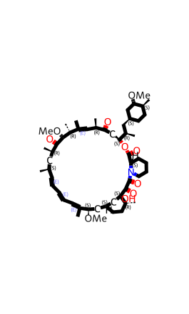 COC1C(=O)[C@H](C)C[C@H](C)/C=C/C=C/C=C(\C)[C@@H](OC)C[C@@H]2CC[C@@H](C)[C@@](O)(C2)C(=O)C(=O)N2CCCC[C@H]2C(=O)O[C@H]([C@H](C)C[C@@H]2CC[C@H](C)C(OC)C2)CC(=O)[C@H](C)/C=C(\C)[C@H]1C